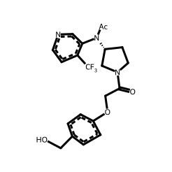 CC(=O)N(c1cnccc1C(F)(F)F)[C@@H]1CCN(C(=O)COc2ccc(CO)cc2)C1